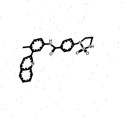 Cc1ccc(NC(=O)c2ccc(N3CCNS3(=O)=O)cc2)cc1-c1ccc2ccccc2n1